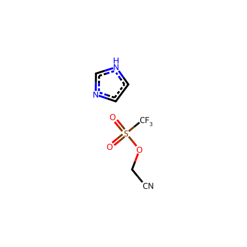 N#CCOS(=O)(=O)C(F)(F)F.c1c[nH]cn1